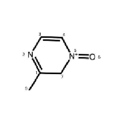 CC1=NC=C[N+](=O)C1